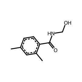 Cc1ccc(C(=O)NCO)c(C)c1